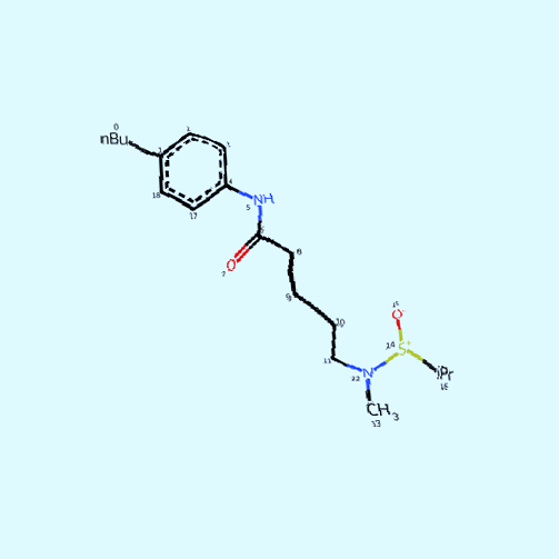 CCCCc1ccc(NC(=O)CCCCN(C)[S+]([O-])C(C)C)cc1